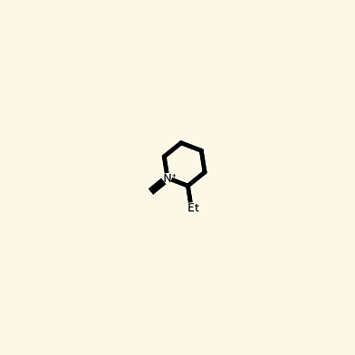 C=[N+]1CCCCC1CC